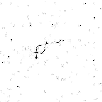 CCCCOC(=O)N1CCC(C#N)(N(C)C)CC1